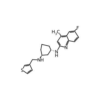 Cc1cc(N[C@H]2CCC[C@H](NCc3ccsc3)C2)nc2ccc(F)cc12